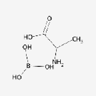 CC(N)C(=O)O.OB(O)O